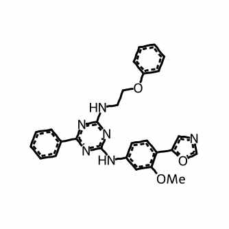 COc1cc(Nc2nc(NCCOc3ccccc3)nc(-c3ccccc3)n2)ccc1-c1cnco1